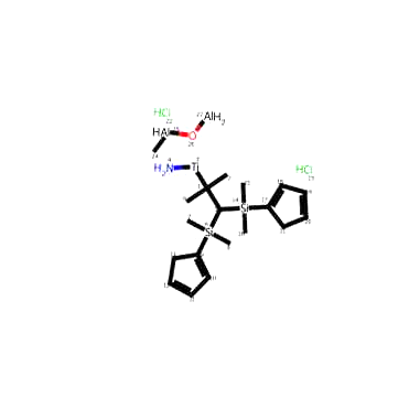 C[C](C)([Ti][NH2])C([Si](C)(C)C1=CC=CC1)[Si](C)(C)C1=CC=CC1.Cl.Cl.[CH3][AlH][O][AlH2]